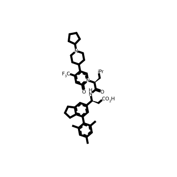 Cc1cc(C)c(-c2cc([C@H](CC(=O)O)NC(=O)[C@H](CC(C)C)n3cc(C4CCN(C5CCCC5)CC4)c(C(F)(F)F)cc3=O)cc3c2CCC3)c(C)c1